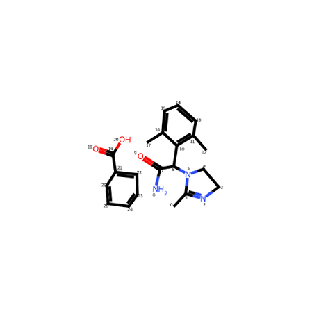 CC1=NCCN1C(C(N)=O)c1c(C)cccc1C.O=C(O)c1ccccc1